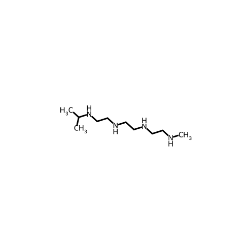 CNCCNCCNCCNC(C)C